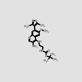 COc1cc2c(NCCNC(=O)OC(C)(C)C)c(N)cnc2cc1-c1c(C)noc1C